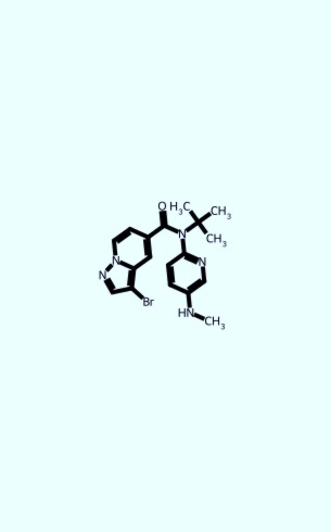 CNc1ccc(N(C(=O)c2ccn3ncc(Br)c3c2)C(C)(C)C)nc1